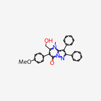 COc1ccc(-c2c(CO)n(C)c3c(-c4ccccc4)c(-c4ccccc4)nn3c2=O)cc1